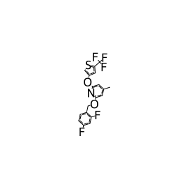 Cc1cc(OCc2ccc(F)cc2F)nc(Oc2csc(C(F)(F)F)c2)c1